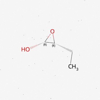 CC[C@H]1O[C@H]1O